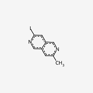 Cc1cc2cnc(I)cc2cn1